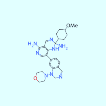 COC1CCC(C2(N)N=Cc3c(N)ncc(-c4ccc5c(c4)N(N4CCOCC4)CN=C5)c3N2)CC1